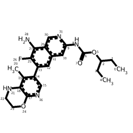 CCC(CC)OC(=O)Nc1cc2cc(-c3cnc4c(c3C)NCCO4)c(F)c(N)c2cn1